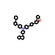 c1ccc(-c2cccc(-c3ccc(N(c4ccc(-c5ccc(-c6ccc7oc8ccccc8c7c6)cc5)cc4)c4ccc(-c5cccc6ccccc56)cc4)cc3)c2)cc1